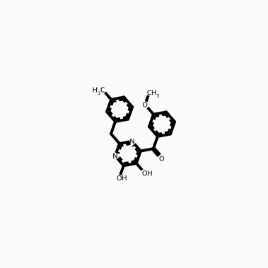 COc1cccc(C(=O)c2nc(Cc3cccc(C)c3)nc(O)c2O)c1